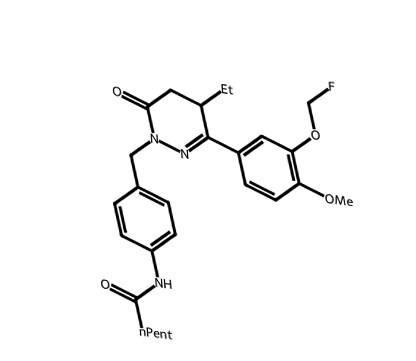 CCCCCC(=O)Nc1ccc(CN2N=C(c3ccc(OC)c(OCF)c3)C(CC)CC2=O)cc1